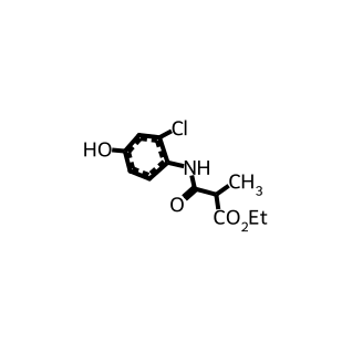 CCOC(=O)C(C)C(=O)Nc1ccc(O)cc1Cl